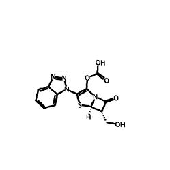 O=C(O)OC1=C(n2nnc3ccccc32)S[C@@H]2[C@@H](CO)C(=O)N12